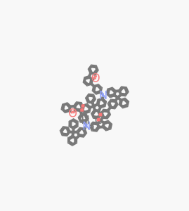 CC1(c2ccc(-c3ccc(C4(c5ccccc5)c5ccccc5-c5ccc(N(c6ccc(-c7cccc8c7oc7ccccc78)cc6)c6ccc7c(c6)C(c6ccccc6)(c6ccccc6)c6ccccc6-7)cc54)cc3)cc2)c2ccccc2-c2ccc(N(c3ccc(-c4cccc5c4oc4ccccc45)cc3)c3ccc4c(c3)C(c3ccccc3)(c3ccccc3)c3ccccc3-4)cc21